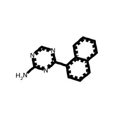 Nc1ncnc(-c2cccc3ccccc23)n1